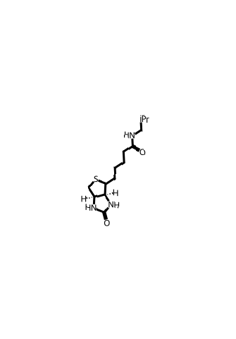 CC(C)CNC(=O)CCCCC1SC[C@@H]2NC(=O)N[C@H]12